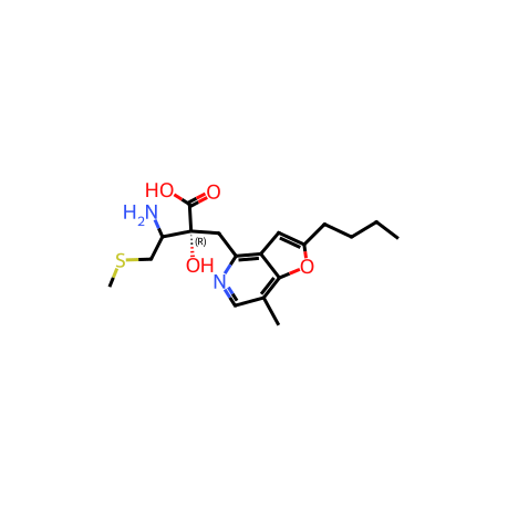 CCCCc1cc2c(C[C@](O)(C(=O)O)C(N)CSC)ncc(C)c2o1